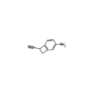 N#CC1Cc2cc(N)ccc21